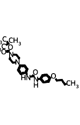 CCCCOc1ccc(NC(=O)Nc2ccc(N3CCN(C(=O)OC(C)(C)C)CC3)cc2)cc1